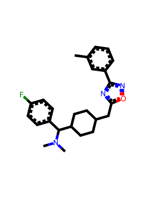 Cc1cccc(-c2noc(CC3CCC(C(c4ccc(F)cc4)N(C)C)CC3)n2)c1